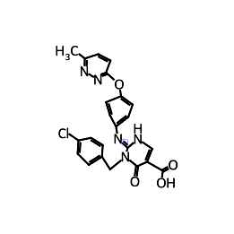 Cc1ccc(Oc2ccc(/N=c3\[nH]cc(C(=O)O)c(=O)n3Cc3ccc(Cl)cc3)cc2)nn1